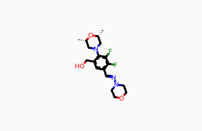 C[C@@H]1CN(c2c(CO)cc(/C=N/N3CCOCC3)c(F)c2F)C[C@H](C)O1